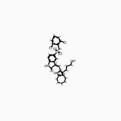 O=C1Nc2ccc(S(=O)(=O)Cc3c(Cl)cccc3Cl)cc2/C1=C/c1[nH]c2c(c1CCCO)CCCCC2